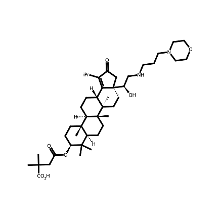 CC(C)C1=C2[C@H]3CC[C@@H]4[C@@]5(C)CC[C@H](OC(=O)CC(C)(C)C(=O)O)C(C)(C)[C@@H]5CC[C@@]4(C)[C@]3(C)CC[C@@]2([C@H](O)CNCCCN2CCOCC2)CC1=O